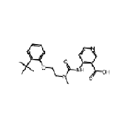 CN(CCOc1ccccc1C(C)(C)C)C(=O)Nc1ccncc1C(=O)O